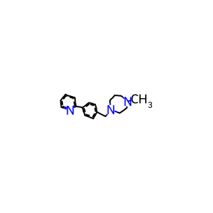 CN1CCCN(Cc2ccc(-c3ccccn3)cc2)CC1